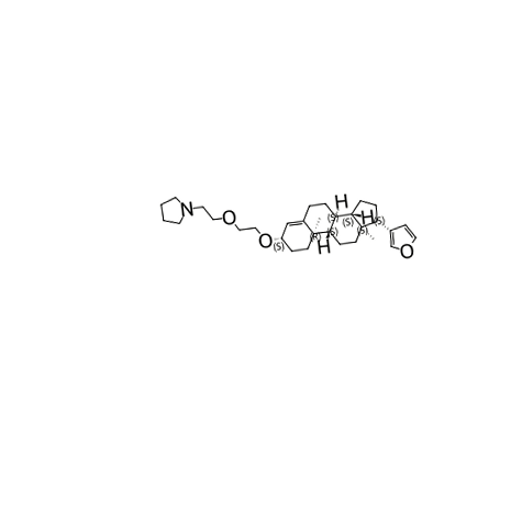 C[C@]12CC[C@H]3[C@@H](CCC4=C[C@@H](OCCOCCN5CCCC5)CC[C@@]43C)[C@@H]1CC[C@@H]2c1ccoc1